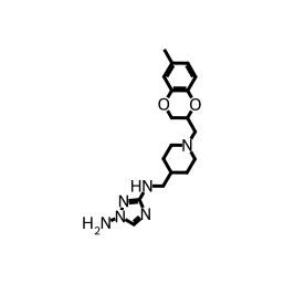 Cc1ccc2c(c1)OCC(CN1CCC(CNc3ncn(N)n3)CC1)O2